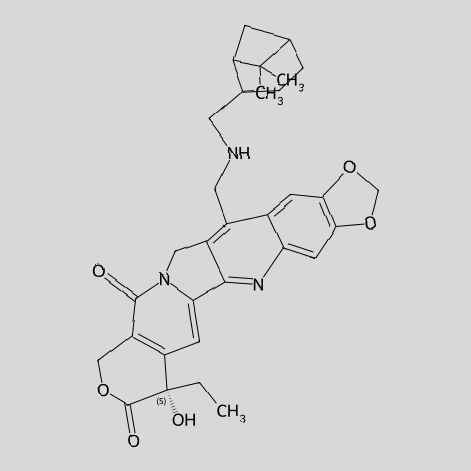 CC[C@@]1(O)C(=O)OCc2c1cc1n(c2=O)Cc2c-1nc1cc3c(cc1c2CNCC1CCC2CC1C2(C)C)OCO3